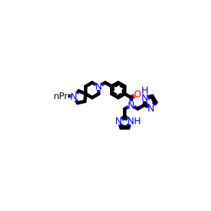 CCCN1CCC2(CCN(Cc3ccc(C(=O)N(Cc4ncc[nH]4)Cc4ncc[nH]4)cc3)CC2)C1